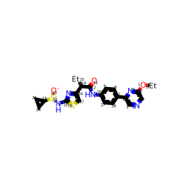 CCOc1cncc(-c2ccc(NC(=O)C(CC)c3csc(N[S+]([O-])C4CC4)n3)cc2)n1